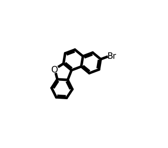 Brc1ccc2c(ccc3oc4ccccc4c32)c1